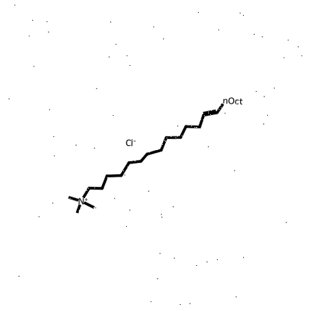 CCCCCCCCC=CCCCCCCCCCCCC[N+](C)(C)C.[Cl-]